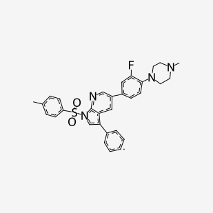 Cc1ccc(S(=O)(=O)n2cc(-c3cc[c]cc3)c3cc(-c4ccc(N5CCN(C)CC5)c(F)c4)cnc32)cc1